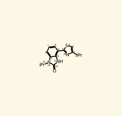 CC(C)c1csc(-c2cccc3c2[nH]c(=O)n3C(C)C)n1